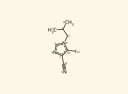 CC(C)Cn1cnc(C#N)c1I